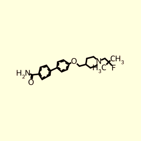 CC(C)(F)CN1CCC(COc2ccc(-c3ccc(C(N)=O)cc3)cc2)CC1